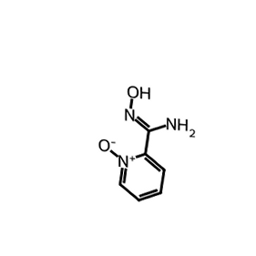 N/C(=N\O)c1cccc[n+]1[O-]